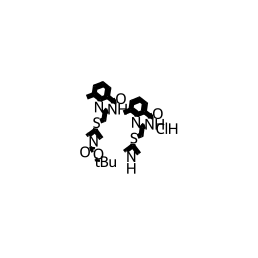 Cc1cccc2c(=O)[nH]c(CSC3CN(C(=O)OC(C)(C)C)C3)nc12.Cc1cccc2c(=O)[nH]c(CSC3CNC3)nc12.Cl